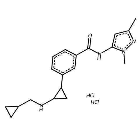 Cc1cc(NC(=O)c2cccc(C3CC3NCC3CC3)c2)n(C)n1.Cl.Cl